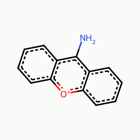 Nc1c2ccccc2[o+]c2ccccc12